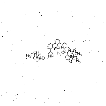 COc1nc(-c2cccc(-c3ccnc(-c4cnn(CC5CN(C(=O)OC(C)(C)C)C5)c4)c3Cl)c2Cl)ccc1CN(C[C@@H]1CCC(=O)N1)C(=O)OC(C)(C)C